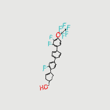 OCC1CC=C(c2ccc(-c3ccc(-c4ccc(OC(F)(F)C(F)(F)F)c(F)c4F)cc3)cc2F)CC1